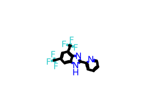 FC(F)(F)c1cc(C(F)(F)F)c2nc(-c3ccccn3)[nH]c2c1